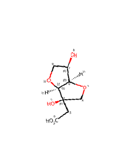 O=C(O)C[C@@]1(O)CO[C@@H]2[C@H](O)CO[C@@H]21